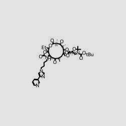 CC[C@H]1OC(=O)[C@H](C)C(=O)[C@H](C)[C@@H](OC(=O)C2CN(C(=O)OC(C)(C)C)C(C)(C)O2)[C@@](C)(OC)C[C@@H](C)C(=O)[C@H](C)[C@H]2N(CCCCn3cnc(-c4cccnc4)c3)C(=O)O[C@]12C